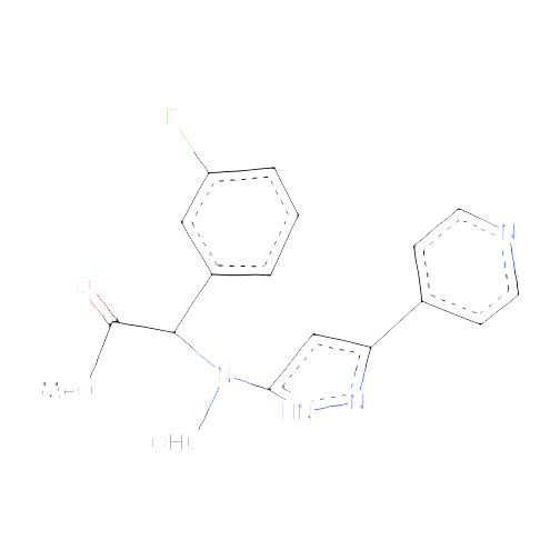 COC(=O)C(c1cccc(F)c1)N(C=O)c1cc(-c2ccncc2)n[nH]1